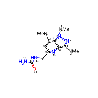 CNc1nn(NC)c2c(NC)cc(CNC(N)=O)nc12